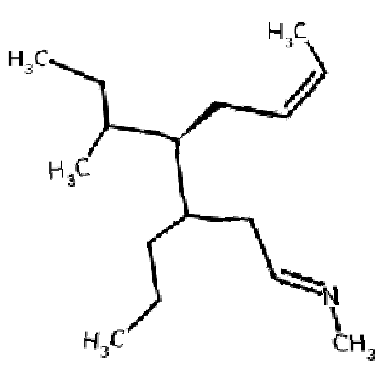 C/C=C\C[C@H](C(C)CC)C(C/C=N/C)CCC